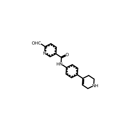 O=Cc1ccc(C(=O)Nc2ccc(C3=CCNCC3)cc2)cn1